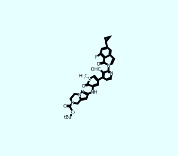 Cn1cc(-c2ccnc(-n3ccc4cc(C5CC5)cc(F)c4c3=O)c2C=O)cc(Nc2cc3n(n2)CCN(C(=O)OC(C)(C)C)C3)c1=O